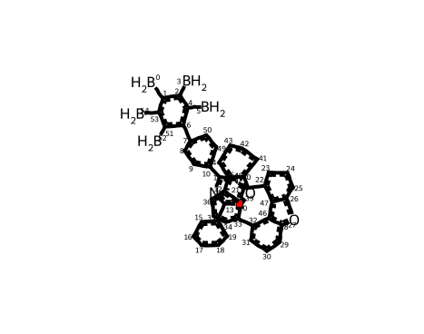 Bc1c(B)c(B)c(-c2ccc(-c3nc(-c4ccccc4)nc(-c4cccc5oc6cccc(-c7cccc8c7oc7ccccc78)c6c45)n3)cc2)c(B)c1B